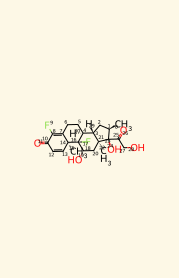 C[C@@H]1C[C@H]2[C@@H]3CCC4=C(F)C(=O)C=C[C@]4(C)[C@@]3(F)[C@@H](O)C[C@]2(C)[C@@]1(O)C(=O)CO